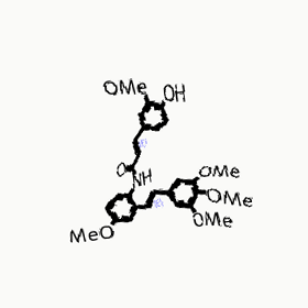 COc1ccc(NC(=O)/C=C/c2ccc(O)c(OC)c2)c(/C=C/c2cc(OC)c(OC)c(OC)c2)c1